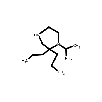 CCCC1(CCC)CNCCN1C(C)N